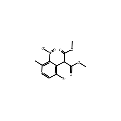 COC(=O)C(C(=O)OC)c1c(Br)cnc(C)c1[N+](=O)[O-]